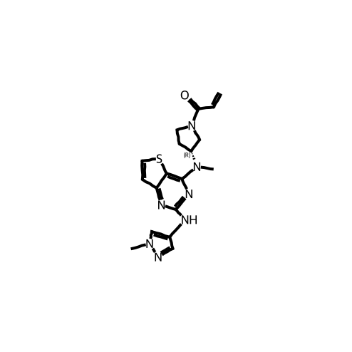 C=CC(=O)N1CC[C@@H](N(C)c2nc(Nc3cnn(C)c3)nc3ccsc23)C1